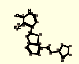 O=c1[nH]ncc(N2Cc3cccc(OCC4CCCO4)c3C2)c1C(F)(F)F